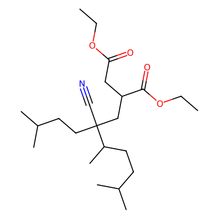 CCOC(=O)CC(CC(C#N)(CCC(C)C)C(C)CCC(C)C)C(=O)OCC